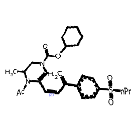 C=C(/C=C\C1=CN(C(=O)OC2CCCCC2)CC(C)N1C(C)=O)c1ccc(S(=O)(=O)CCC)cc1